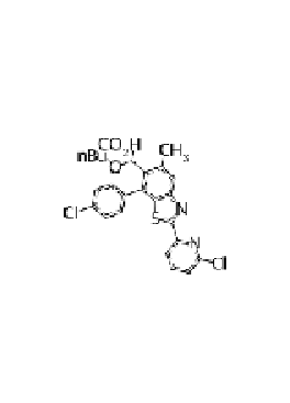 CCCCOC(C(=O)O)c1c(C)cc2nc(-c3cccc(Cl)n3)sc2c1-c1ccc(Cl)cc1